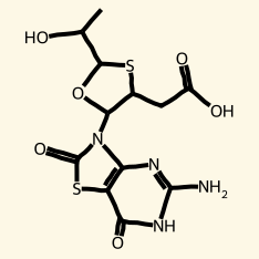 CC(O)C1OC(n2c(=O)sc3c(=O)[nH]c(N)nc32)C(CC(=O)O)S1